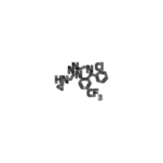 FC(F)(F)c1ccc2c(c1)C(c1ccccc1Cl)=NCc1nnc(CNC3CC3)n1-2